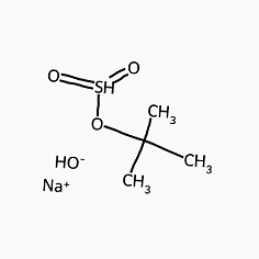 CC(C)(C)O[SH](=O)=O.[Na+].[OH-]